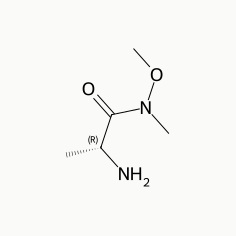 CON(C)C(=O)[C@@H](C)N